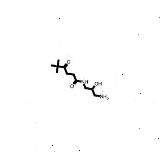 CC(C)(C)C(=O)CCC(=O)NCC(O)CN